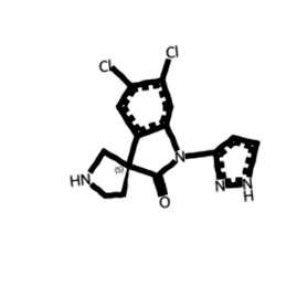 O=C1N(c2cc[nH]n2)c2cc(Cl)c(Cl)cc2[C@]12CCNC2